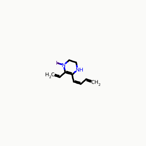 C=C/C=C\C1=C(C=C)N(I)CCN1